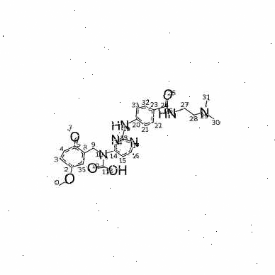 COc1ccc(OC)c(CN(C(=O)O)c2ccnc(Nc3ccc(C(=O)NCCN(C)C)cc3)n2)c1